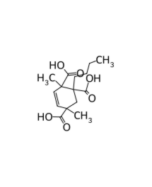 CCCCC1(C(=O)O)CC(C)(C(=O)O)C=CC1(C)C(=O)O